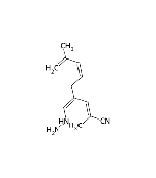 C=C(C)/C=C\CC(=C/NN)/C=C(\C)C#N